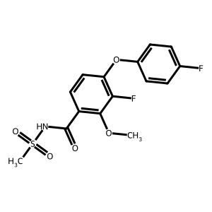 COc1c(C(=O)NS(C)(=O)=O)ccc(Oc2ccc(F)cc2)c1F